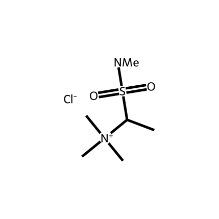 CNS(=O)(=O)C(C)[N+](C)(C)C.[Cl-]